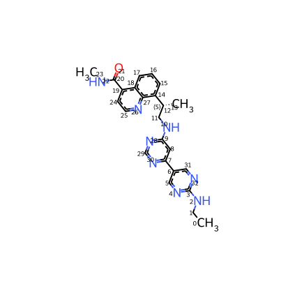 CCNc1ncc(-c2cc(NC[C@@H](C)c3cccc4c(C(=O)NC)ccnc34)ncn2)cn1